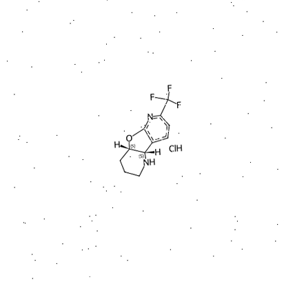 Cl.FC(F)(F)c1ccc2c(n1)O[C@H]1CCCN[C@@H]21